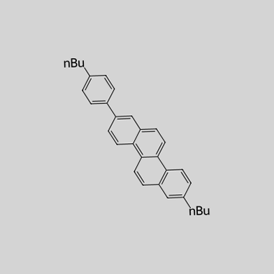 CCCCc1ccc(-c2ccc3c(ccc4c5ccc(CCCC)cc5ccc34)c2)cc1